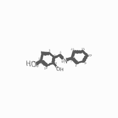 Oc1ccc(C=Nc2ccccc2)c(O)c1